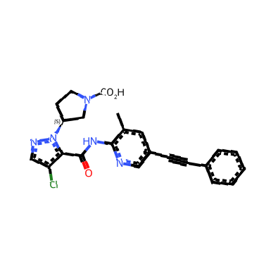 Cc1cc(C#Cc2ccccc2)cnc1NC(=O)c1c(Cl)cnn1[C@H]1CCN(C(=O)O)C1